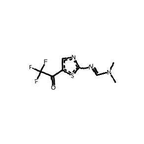 CN(C)C=Nc1ncc(C(=O)C(F)(F)F)s1